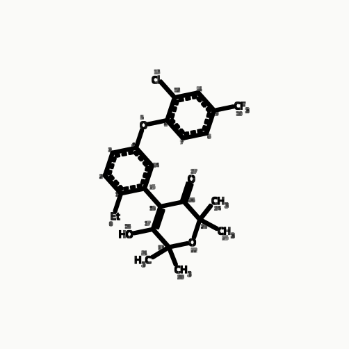 CCc1ccc(Oc2ccc(C(F)(F)F)cc2Cl)cc1C1=C(O)C(C)(C)OC(C)(C)C1=O